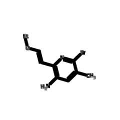 CCOC=Cc1nc(Br)c(C)cc1N